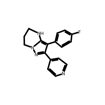 Fc1ccc(-c2c(-c3ccncc3)nn3c2NCCC3)cc1